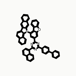 c1ccc(-c2ccc(-c3nc(-c4cc(-n5c6cc7ccccc7cc6c6ccc7ccccc7c65)c5c(c4)oc4ccccc45)nc(-c4cccc5ccccc45)n3)cc2)cc1